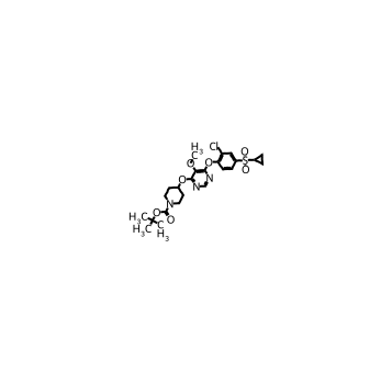 COc1c(Oc2ccc(S(=O)(=O)C3CC3)cc2Cl)ncnc1OC1CCN(C(=O)OC(C)(C)C)CC1